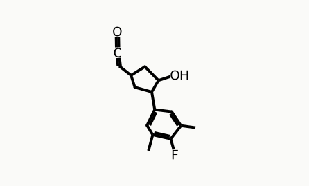 Cc1cc(C2CC(C=C=O)CC2O)cc(C)c1F